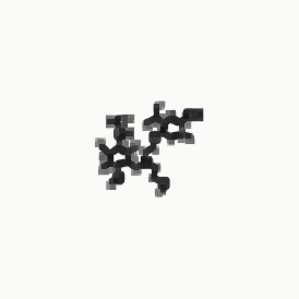 COCCN(CCOc1cc(C)c(O)cc1C(C)C)Cc1c(C)c(O)c(C)c(C)c1OC.Cl